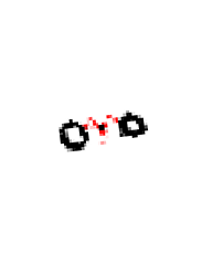 O=C(OC1=CC=C=CC=C1)Oc1ccccc1